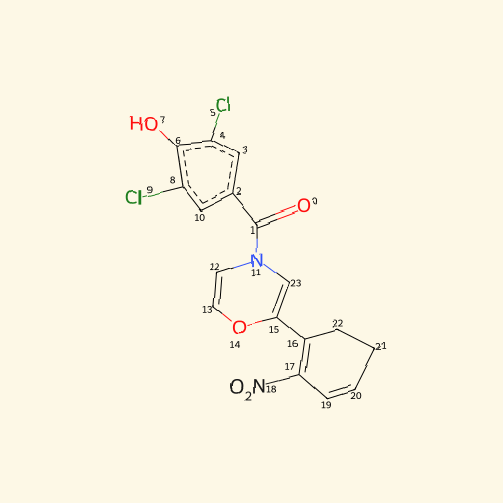 O=C(c1cc(Cl)c(O)c(Cl)c1)N1C=COC(C2=C([N+](=O)[O-])C=CCC2)=C1